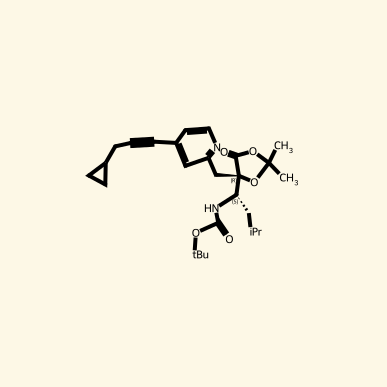 CC(C)C[C@H](NC(=O)OC(C)(C)C)[C@@]1(Cc2cc(C#CCC3CC3)ccn2)OC(C)(C)OC1=O